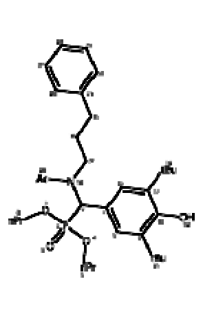 CCCOP(=O)(OCCC)C(c1cc(C(C)(C)C)c(O)c(C(C)(C)C)c1)N(CCCc1ccccc1)C(C)=O